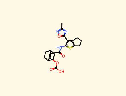 Cc1noc(-c2c(NC(=O)C3=C(OC(=O)O)C4CCC3CC4)sc3c2CCC3)n1